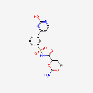 CC(C)CC(OC(N)=O)C(=O)NS(=O)(=O)c1cccc(-c2ccnc(O)n2)c1